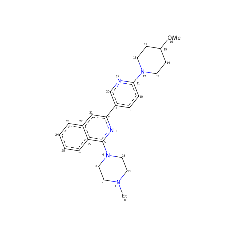 CCN1CCN(c2nc(-c3ccc(N4CCC(OC)CC4)nc3)cc3ccccc23)CC1